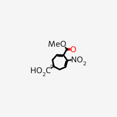 COC(=O)C1=CC[C@H](C(=O)O)CC=C1[N+](=O)[O-]